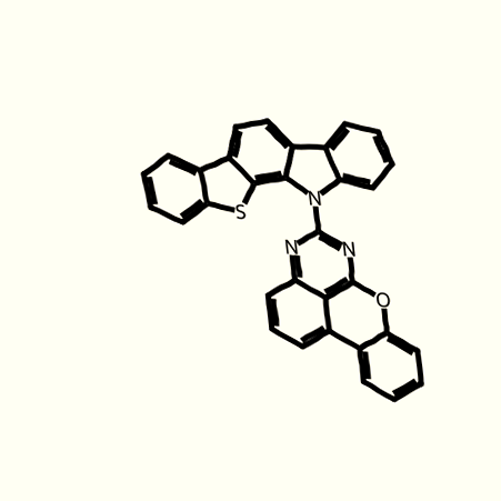 c1ccc2c(c1)Oc1nc(-n3c4ccccc4c4ccc5c6ccccc6sc5c43)nc3cccc-2c13